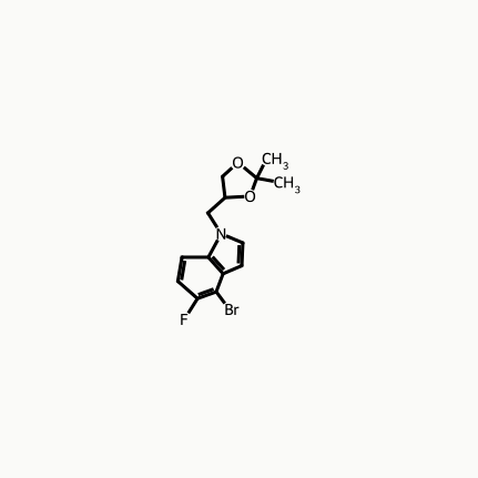 CC1(C)OCC(Cn2ccc3c(Br)c(F)ccc32)O1